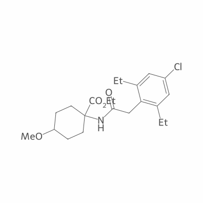 CCOC(=O)C1(NC(=O)Cc2c(CC)cc(Cl)cc2CC)CCC(OC)CC1